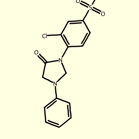 NS(=O)(=O)c1ccc(N2CN(c3ccccc3)CC2=O)c(Cl)c1